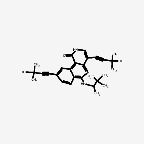 CC(Nc1nc2c(C#CC(C)(C)O)c[nH]c(=O)c2c2cc(C#CC(C)(C)O)ccc12)C(C)(C)C